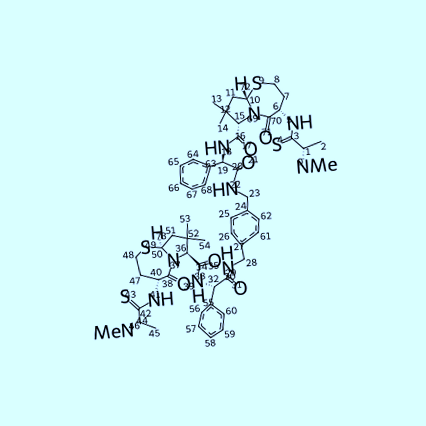 CN[C@@H](C)C(=S)N[C@H]1CCS[C@H]2CC(C)(C)[C@@H](C(=O)N[C@@H](C(=O)NCc3ccc(CNC(=O)[C@@H](NC(=O)[C@H]4N5C(=O)[C@H](NC(=S)[C@H](C)NC)CCS[C@H]5CC4(C)C)c4ccccc4)cc3)c3ccccc3)N2C1=O